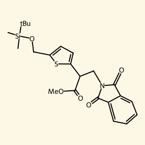 COC(=O)C(CN1C(=O)c2ccccc2C1=O)c1ccc(CO[Si](C)(C)C(C)(C)C)s1